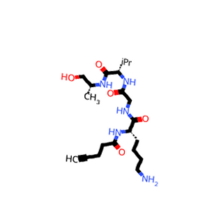 C#CCCC(=O)N[C@@H](CCCCN)C(=O)NCC(=O)N[C@H](C(=O)N[C@H](C)CO)C(C)C